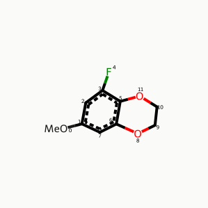 COc1[c]c(F)c2c(c1)OCCO2